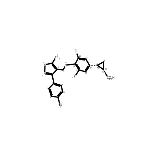 CCc1ccc(-c2nsc(C(F)(F)F)c2COc2c(F)cc([C@@H]3C[C@H]3C(=O)O)cc2F)cc1